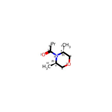 CC(C)C(=O)N1[C@H](C)COC[C@H]1C